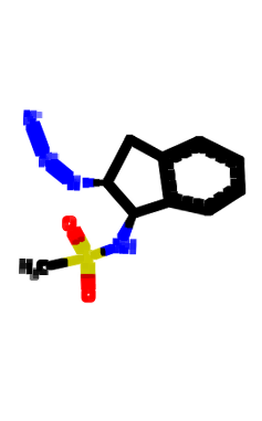 CS(=O)(=O)N[C@@H]1c2ccccc2C[C@H]1N=[N+]=[N-]